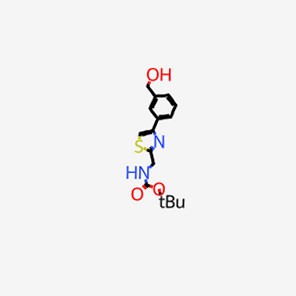 CC(C)(C)OC(=O)NCc1nc(-c2cccc(CO)c2)cs1